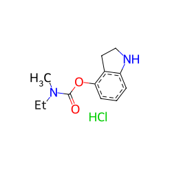 CCN(C)C(=O)Oc1cccc2c1CCN2.Cl